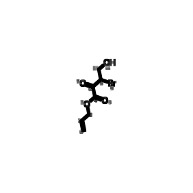 C=CCOC(=O)C(=O)C(Br)CO